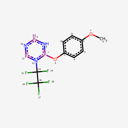 COc1ccc(Op2[nH][pH]npn2C(F)(F)C(F)(F)F)cc1